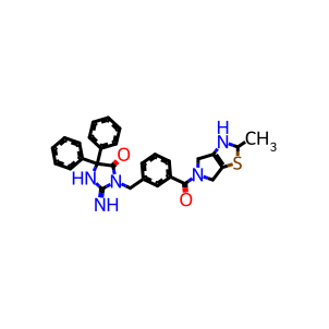 CC1NC2=C(CN(C(=O)c3cccc(CN4C(=N)NC(c5ccccc5)(c5ccccc5)C4=O)c3)C2)S1